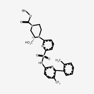 Cc1ccccc1-c1nc(NS(=O)(=O)c2cccc(N3CCN(C(=O)OC(C)(C)C)C[C@H]3C(=O)O)n2)ccc1C(F)(F)F